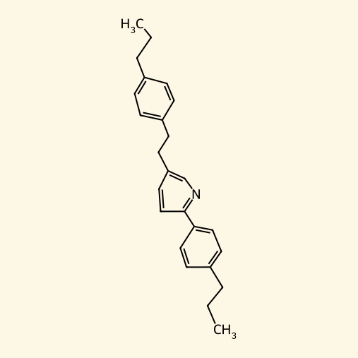 CCCc1ccc(CCc2ccc(-c3ccc(CCC)cc3)nc2)cc1